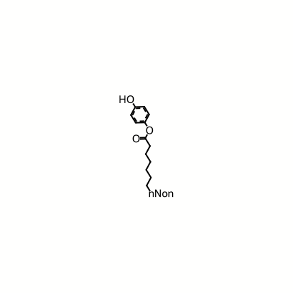 CCCCCCCCCCCCCCCC(=O)Oc1ccc(O)cc1